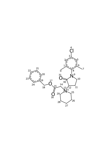 Cc1cc(Cl)cc(C)c1N1CCC([N+]2(CC(=O)OCc3ccccc3)CCCCC2)C1=O